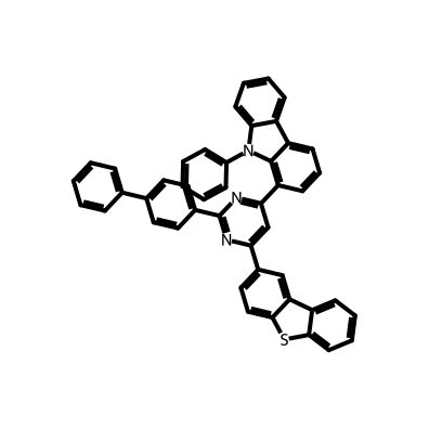 c1ccc(-c2ccc(-c3nc(-c4ccc5sc6ccccc6c5c4)cc(-c4cccc5c6ccccc6n(-c6ccccc6)c45)n3)cc2)cc1